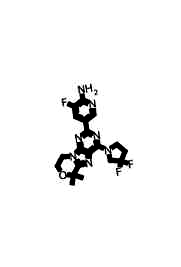 CC1(C)OCCn2c1nc1c(N3CCC(F)(F)C3)nc(-c3cnc(N)c(F)c3)nc12